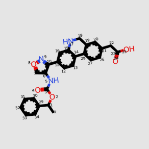 CC(OC(=O)Nc1conc1-c1ccc2c(c1)NCc1cc(CC(=O)O)ccc1-2)c1ccccc1